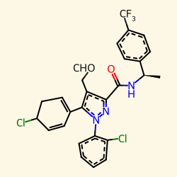 C[C@@H](NC(=O)c1nn(-c2ccccc2Cl)c(C2=CCC(Cl)C=C2)c1CC=O)c1ccc(C(F)(F)F)cc1